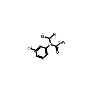 CCCC(=O)N(c1cccc(Cl)c1)C(CC)CC